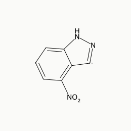 O=[N+]([O-])c1cccc2[nH]n[c]c12